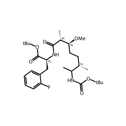 CO[C@@H](CC[C@H](C)C(C)NC(=O)OC(C)(C)C)[C@@H](C)C(=O)N[C@@H](Cc1ccccc1F)C(=O)OC(C)(C)C